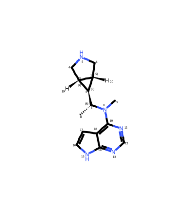 C[C@H]([C@H]1[C@@H]2CNC[C@@H]21)N(C)c1ncnc2[nH]ccc12